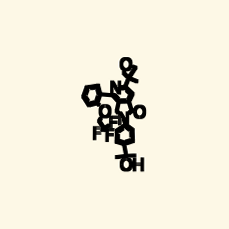 CC(C)(O)c1ccc(N2Cc3c(cc(C4(C)COC4)nc3-c3ccccc3OCC(F)(F)F)C2=O)cc1